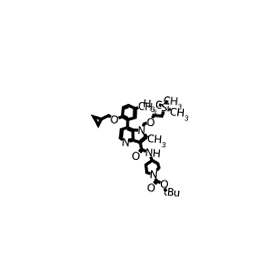 Cc1ccc(OCC2CC2)c(-c2ccnc3c(C(=O)NC4CCN(C(=O)OC(C)(C)C)CC4)c(C)n(COCC[Si](C)(C)C)c23)c1